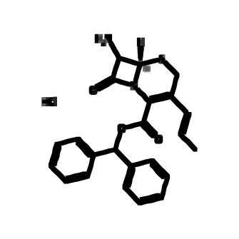 CC=CC1=C(C(=O)OC(c2ccccc2)c2ccccc2)N2C(=O)C(N)[C@@H]2SC1.Cl